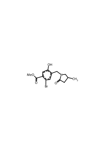 COC(=O)c1cc(O)c(CN2CC(C)CC2=O)cc1Br